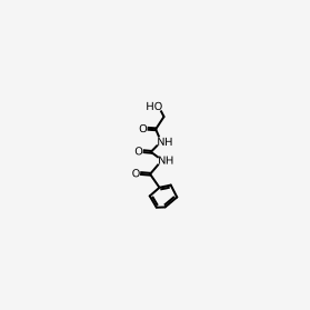 O=C(CO)NC(=O)NC(=O)c1ccccc1